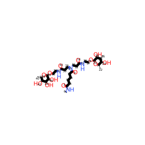 CNC(=O)CCCCC(=O)N(CCC(=O)NCCO[C@@H]1O[C@@H](C)[C@@H](O)[C@@H](C)[C@@H]1O)CCC(=O)NCCO[C@@H]1O[C@@H](C)[C@@H](O)[C@@H](O)[C@@H]1O